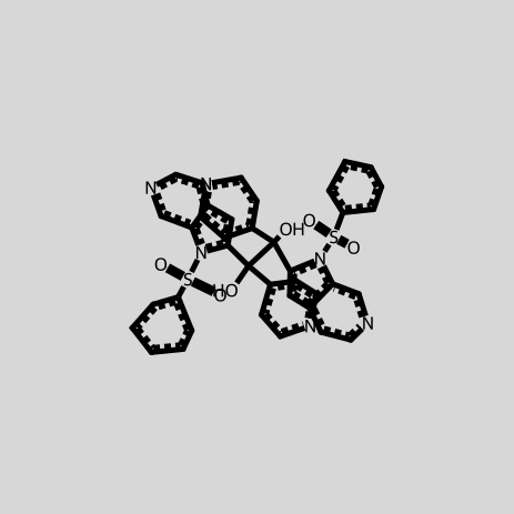 O=S(=O)(c1ccccc1)n1c(C(O)(c2ccncc2)C(O)(c2ccncc2)c2cc3ccncc3n2S(=O)(=O)c2ccccc2)cc2ccncc21